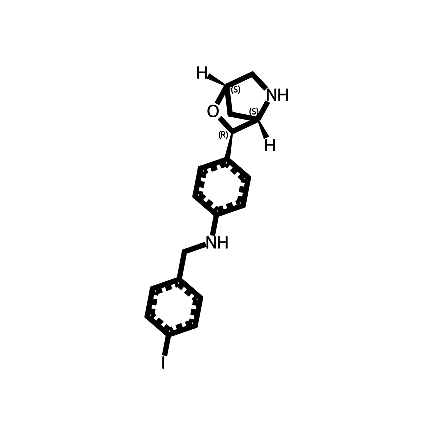 Ic1ccc(CNc2ccc([C@H]3O[C@@H]4CN[C@H]3C4)cc2)cc1